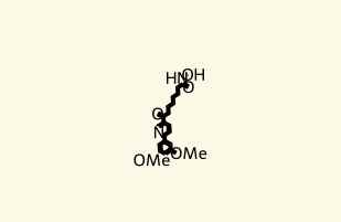 COc1ccc(-c2ccc(C(=O)CCCCCCC(=O)NO)cn2)cc1OC